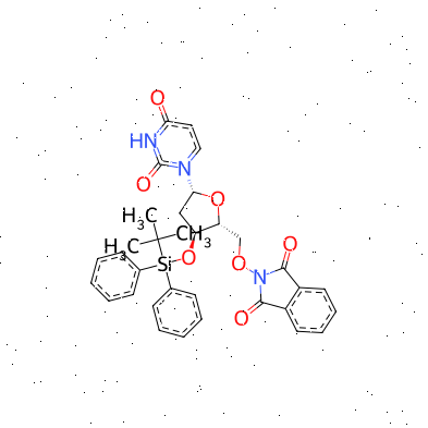 CC(C)(C)[Si](O[C@H]1C[C@H](n2ccc(=O)[nH]c2=O)O[C@@H]1CON1C(=O)c2ccccc2C1=O)(c1ccccc1)c1ccccc1